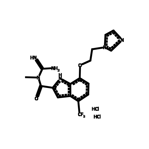 CN(C(=N)N)C(=O)c1cc2c(C(F)(F)F)ccc(OCCn3ccnc3)c2[nH]1.Cl.Cl